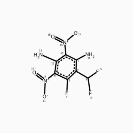 Nc1c(C(F)F)c(F)c([N+](=O)[O-])c(N)c1[N+](=O)[O-]